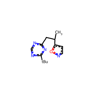 CC(Cc1ncnc(C(C)(C)C)n1)c1ccno1